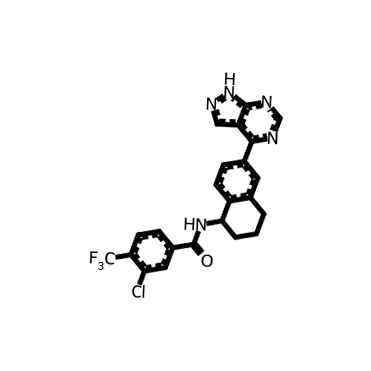 O=C(NC1CCCc2cc(-c3ncnc4[nH]ncc34)ccc21)c1ccc(C(F)(F)F)c(Cl)c1